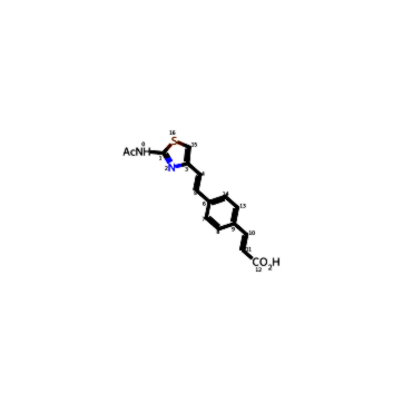 CC(=O)Nc1nc(C=Cc2ccc(C=CC(=O)O)cc2)cs1